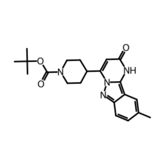 Cc1ccc2nn3c(C4CCN(C(=O)OC(C)(C)C)CC4)cc(=O)[nH]c3c2c1